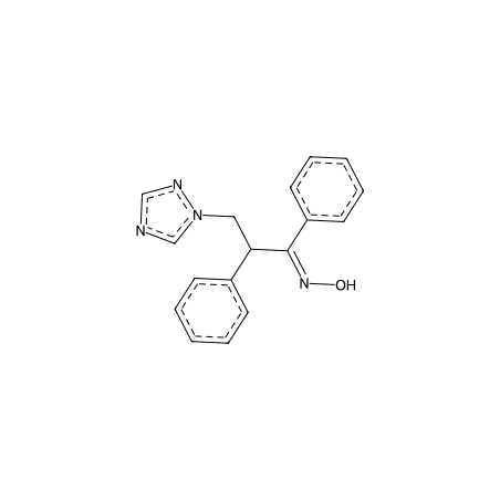 O/N=C(\c1ccccc1)C(Cn1cncn1)c1ccccc1